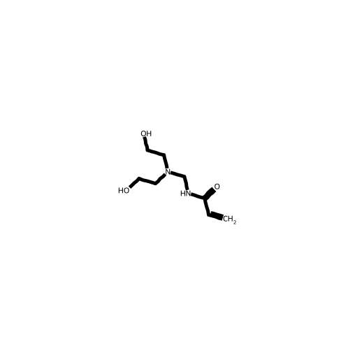 C=CC(=O)NCN(CCO)CCO